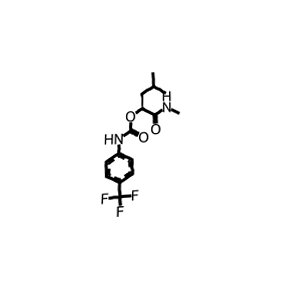 CNC(=O)[C@H](CC(C)C)OC(=O)Nc1ccc(C(F)(F)F)cc1